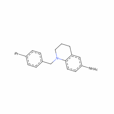 CC(=O)Nc1ccc2c(c1)CCCN2Cc1ccc(C(C)C)cc1